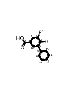 O=C(O)c1cc(F)c(I)c(-c2ccccc2)c1